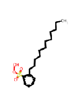 CCCCCCCCCCCCc1ccccc1S(=O)(=O)OO